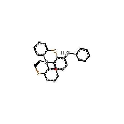 c1ccc([SiH2]c2cccc3c2Sc2ccccc2[Si]32c3ccccc3Sc3ccccc32)cc1